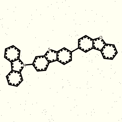 c1ccc2c(c1)oc1ccc(-c3ccc4c(c3)sc3cc(-n5c6ccccc6c6ccccc65)ccc34)cc12